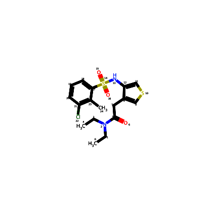 CCN(CC)C(=O)Cc1cscc1NS(=O)(=O)c1cccc(Cl)c1C